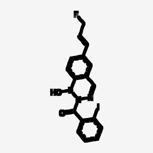 O=C(c1ccccc1I)N1N=Cc2cc(/C=C/CF)ccc2B1O